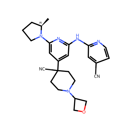 C[C@@H]1CCCN1c1cc(C2(C#N)CCN(C3COC3)CC2)cc(Nc2cc(C#N)ccn2)n1